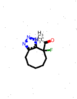 CC(=O)C1(F)CCCCCc2nnn(C)c21